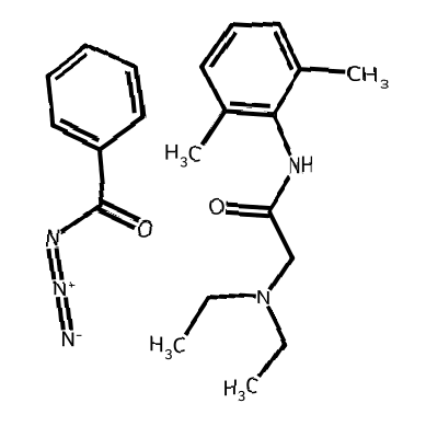 CCN(CC)CC(=O)Nc1c(C)cccc1C.[N-]=[N+]=NC(=O)c1ccccc1